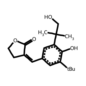 CC(C)(C)c1cc(C=C2CCOC2=O)cc(C(C)(C)CO)c1O